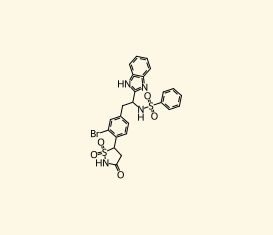 O=C1CC(c2ccc(CC(NS(=O)(=O)c3ccccc3)c3nc4ccccc4[nH]3)cc2Br)S(=O)(=O)N1